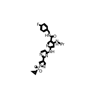 CC(C)Nc1cc(Nc2ccnc(-c3cnn(S(=O)(=O)C4CC4)c3)n2)ncc1C(=O)NCc1ccc(F)cc1